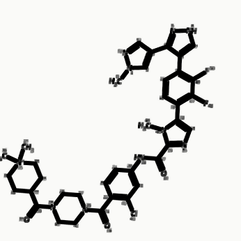 Cn1cc(-c2n[nH]cc2-c2ccc(-c3cnc(C(=O)Nc4ccc(C(=O)N5CCN(C(=O)C6CC[N+](C)(C)CC6)CC5)c(Cl)c4)n3C)c(F)c2F)cn1